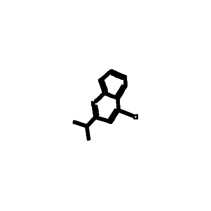 CC(C)c1cc(Cl)c2ccccc2n1